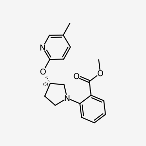 COC(=O)c1ccccc1N1CC[C@H](Oc2ccc(C)cn2)C1